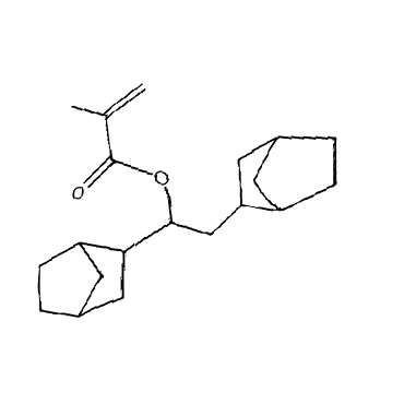 C=C(C)C(=O)OC(CC1CC2CCC1C2)C1CC2CCC1C2